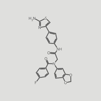 Nc1nc(-c2ccc(NC(=O)CN(C(=O)c3ccc(F)cc3)c3ccc4c(c3)OCO4)cc2)cs1